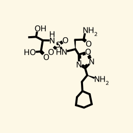 CC(O)C(NS(=O)(=O)N[C@@H](CC(N)=O)c1nc([C@@H](N)CC2CCCCC2)no1)C(=O)O